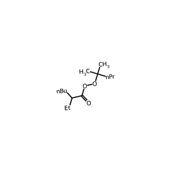 CCCCC(CC)C(=O)OOC(C)(C)CCC